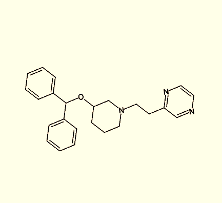 c1ccc(C(OC2CCCN(CCc3cnccn3)C2)c2ccccc2)cc1